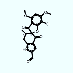 COc1cc(OC)c2c(c1Cl)O[C@@]1(C(=O)c3cc(C=O)[nH]c3C[C@H]1C)C2=O